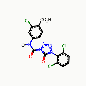 CN(C(=O)n1nnn(-c2c(Cl)cccc2Cl)c1=O)c1ccc(C(=O)O)c(Cl)c1